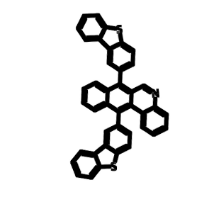 c1ccc2c(c1)ncc1c(-c3ccc4sc5ccccc5c4c3)c3ccccc3c(-c3ccc4sc5ccccc5c4c3)c12